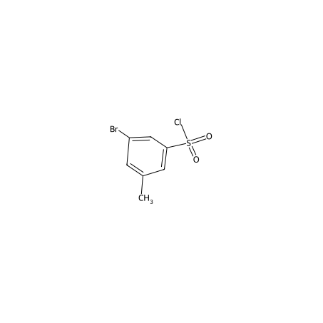 Cc1cc(Br)cc(S(=O)(=O)Cl)c1